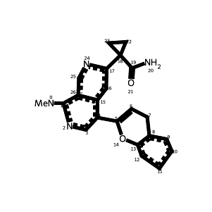 CNc1ncc(C2=CCc3ccccc3O2)c2cc(C3(C(N)=O)CC3)ncc12